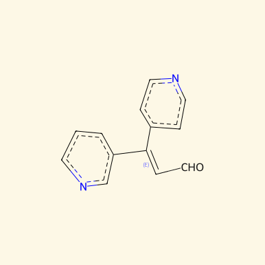 O=C/C=C(\c1ccncc1)c1cccnc1